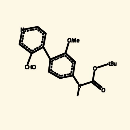 COc1cc(N(C)C(=O)OC(C)(C)C)ccc1-c1ccncc1C=O